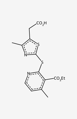 CCOC(=O)c1c(C)ccnc1Sc1nc(C)c(CC(=O)O)s1